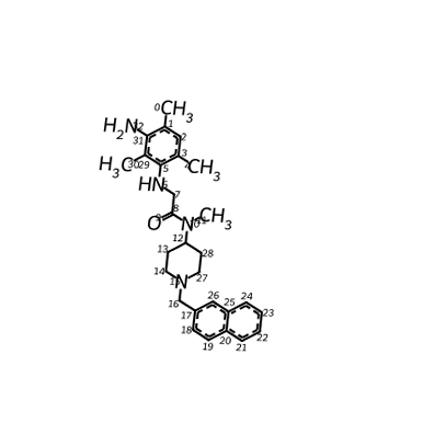 Cc1cc(C)c(NCC(=O)N(C)C2CCN(Cc3ccc4ccccc4c3)CC2)c(C)c1N